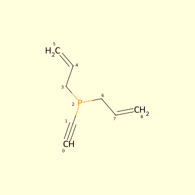 C#CP(CC=C)CC=C